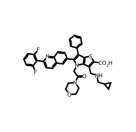 O=C(O)c1sc2c(-c3ccccc3)c(-c3ccc4nc(-c5c(F)cccc5F)ccc4c3)n(CC(=O)N3CCOCC3)c2c1CNCC1CC1